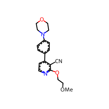 COCCOc1nccc(-c2ccc(N3CCOCC3)cc2)c1C#N